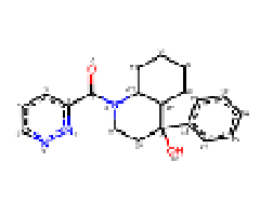 O=C(c1cccnn1)N1CCC(O)(c2ccccc2)C2CCCCC21